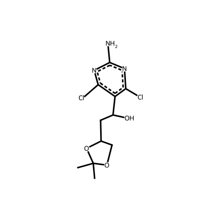 CC1(C)OCC(CC(O)c2c(Cl)nc(N)nc2Cl)O1